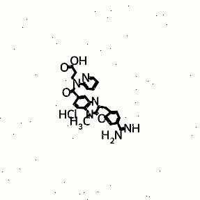 Cl.Cn1c(=O)c(Cc2ccc(C(=N)N)cc2)nc2cc(C(=O)N(CCC(=O)O)c3ccccn3)ccc21